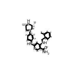 Cc1ccccc1CNc1cc(Nc2ccc(N3C[C@@H](C)N[C@@H](C)C3)cc2)ncc1C(N)=O